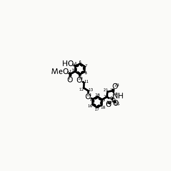 COC(=O)c1c(O)cccc1OCCCOc1cccc(C2CC(=O)NS2(=O)=O)c1